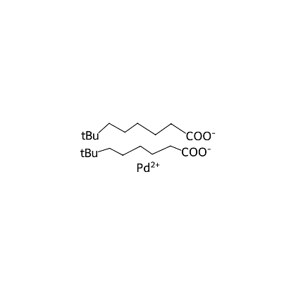 CC(C)(C)CCCCCC(=O)[O-].CC(C)(C)CCCCCC(=O)[O-].[Pd+2]